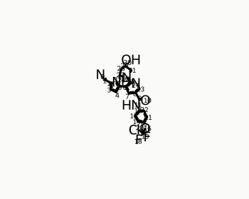 N#Cc1ccc(-c2cc(C(=O)Nc3ccc(OC(F)(F)Cl)cc3)cnc2N2CCC(O)C2)[nH]1